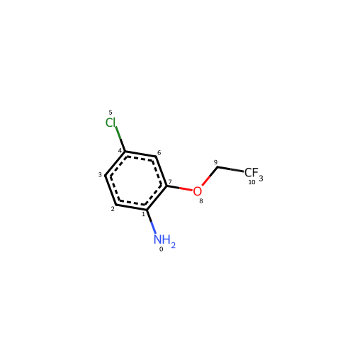 Nc1ccc(Cl)cc1OCC(F)(F)F